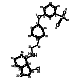 CS(=O)(=O)c1cc(Oc2ccc(CCNc3ncnc4scc(Cl)c34)cc2)ccn1